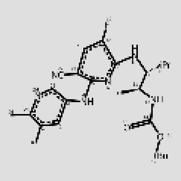 Cc1cc(Nc2nc(N[C@H](C(C)C)[C@H](C)NC(=O)OC(C)(C)C)c(F)cc2C#N)cnc1C